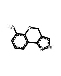 O=[N+]([O-])c1cccc2c1OCc1c[nH]nc1-2